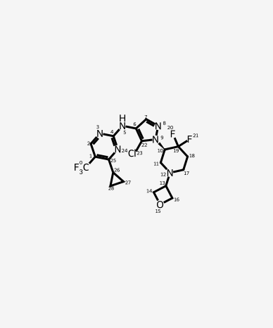 FC(F)(F)c1cnc(Nc2cnn([C@@H]3CN(C4COC4)CCC3(F)F)c2Cl)nc1C1CC1